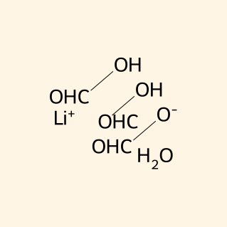 O.O=CO.O=CO.O=C[O-].[Li+]